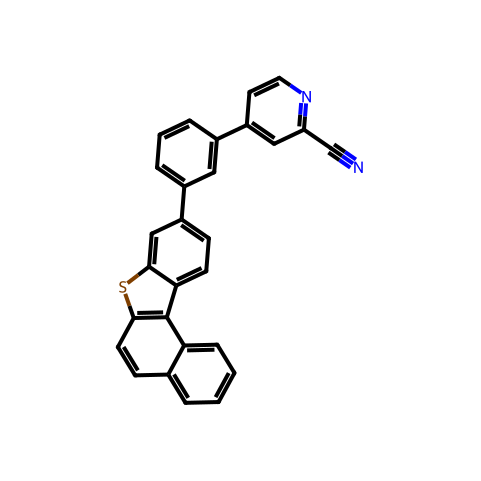 N#Cc1cc(-c2cccc(-c3ccc4c(c3)sc3ccc5ccccc5c34)c2)ccn1